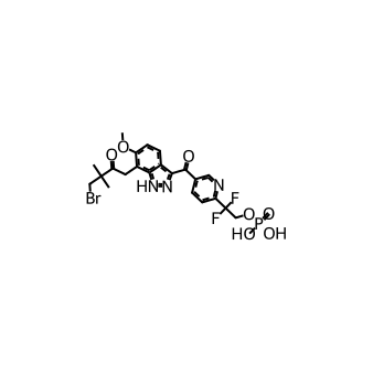 COc1ccc2c(C(=O)c3ccc(C(F)(F)COP(=O)(O)O)nc3)n[nH]c2c1CC(=O)C(C)(C)CBr